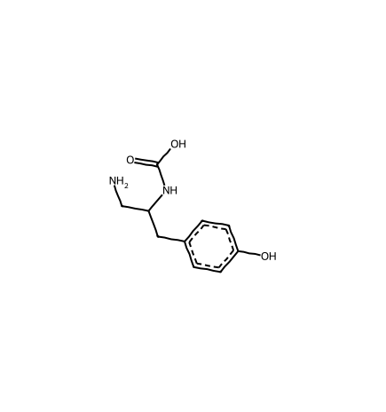 NCC(Cc1ccc(O)cc1)NC(=O)O